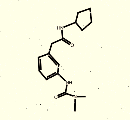 CN(C)C(=O)Nc1cccc(CC(=O)NC2CCCC2)c1